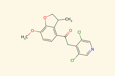 COc1ccc(C(=O)Cc2c(Cl)cncc2Cl)c2c1OCC2C